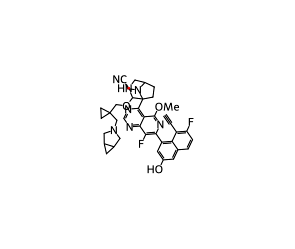 C#Cc1c(F)ccc2cc(O)cc(-c3nc(OC)c4c(C56CCC(CNC5OCC5(CN7CC8CC8C7)CC5)N6CC#N)ncnc4c3F)c12